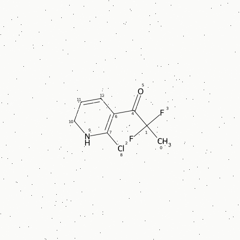 CC(F)(F)C(=O)C1=C(Cl)NC[C]=C1